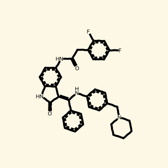 O=C(Cc1ccc(F)cc1F)Nc1ccc2c(c1)C(=C(Nc1ccc(CN3CCCCC3)cc1)c1ccccc1)C(=O)N2